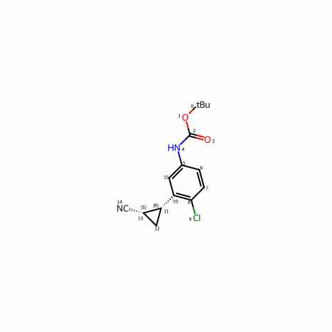 CC(C)(C)OC(=O)Nc1ccc(Cl)c([C@@H]2C[C@@H]2C#N)c1